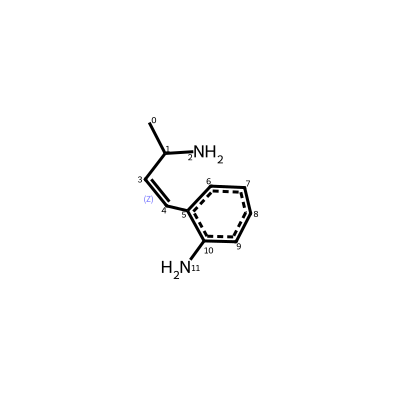 CC(N)/C=C\c1ccccc1N